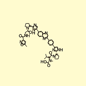 Cc1cc(C(=O)NCC(=O)N2CCC[C@H]2c2ncc(-c3ccc4nc(-c5ccc(-c6c[nH]c([C@@H]7CCCN7C(=O)[C@H](C(C)C)N(C)C(=O)O)n6)cc5)cnc4c3)[nH]2)no1